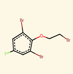 Fc1cc(Br)c(OCCBr)c(Br)c1